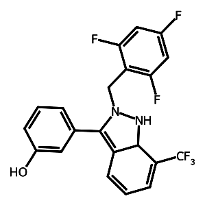 Oc1cccc(C2=C3C=CC=C(C(F)(F)F)C3NN2Cc2c(F)cc(F)cc2F)c1